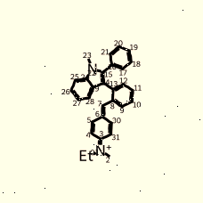 CC[N+](C)=C1C=CC(=Cc2ccccc2-c2c(-c3ccccc3)n(C)c3ccccc23)C=C1